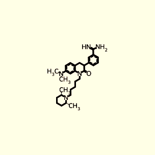 C[C@@H]1CCC[C@H](C)N1CCCCCN1C(=O)C(c2cccc(C(=N)N)c2)Cc2ccc(N(C)C)cc21